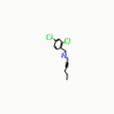 CCCC#CCN=Cc1ccc(Cl)cc1Cl